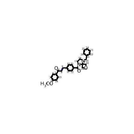 COc1ccc(C(=O)/C=C/c2ccc(C(=O)N3CCN(Cc4ccccc4)C34COC4)cc2)cc1